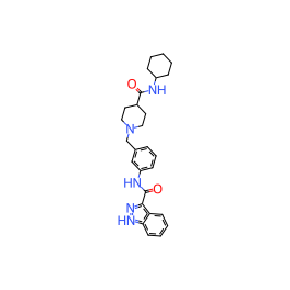 O=C(Nc1cccc(CN2CCC(C(=O)NC3CCCCC3)CC2)c1)c1n[nH]c2ccccc12